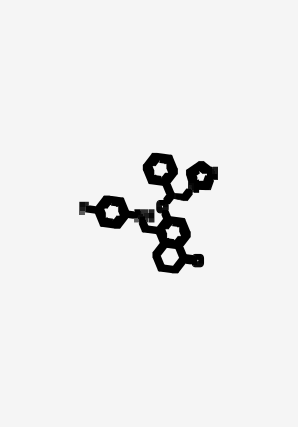 O=C1CCCc2c1ccc(O[C@H](Cn1ccnc1)c1ccccc1)c2CNc1ccc(F)cc1